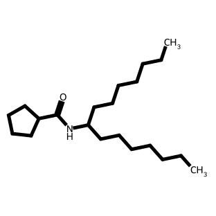 CCCCCCCC(CCCCCCC)NC(=O)C1CCCC1